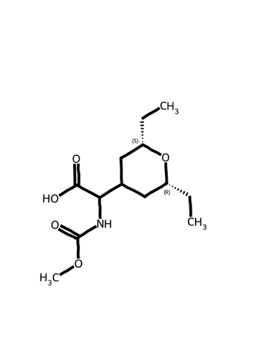 CC[C@@H]1CC(C(NC(=O)OC)C(=O)O)C[C@H](CC)O1